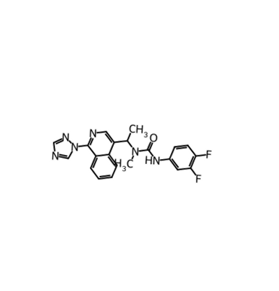 CC(c1cnc(-n2cncn2)c2ccccc12)N(C)C(=O)Nc1ccc(F)c(F)c1